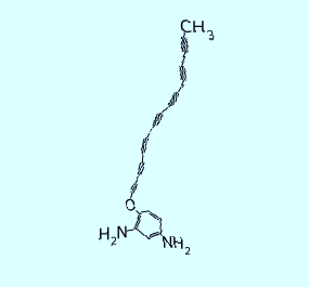 CC#CC#CC#CC#CC#CC#CC#COc1ccc(N)cc1N